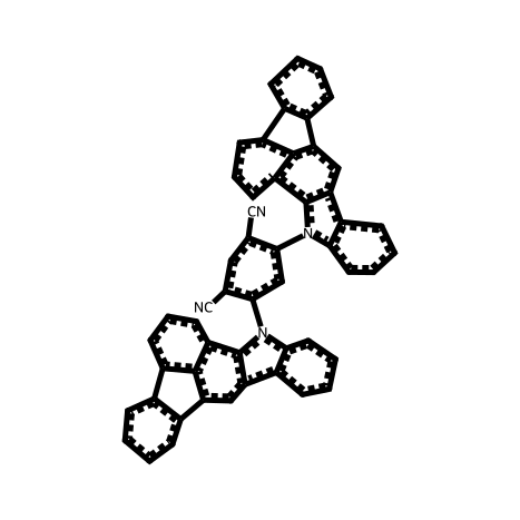 N#Cc1cc(C#N)c(-n2c3ccccc3c3cc4c5c(cccc5c32)-c2ccccc2-4)cc1-n1c2ccccc2c2cc3c4c(cccc4c21)-c1ccccc1-3